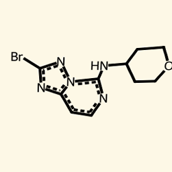 Brc1nc2ccnc(NC3CCOCC3)n2n1